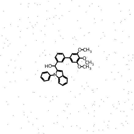 COc1cc(-c2cccc(C(O)c3cc4ccccc4n3-c3ccccc3)c2)cc(OC)c1OC